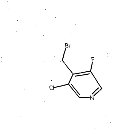 Fc1cncc(Cl)c1CBr